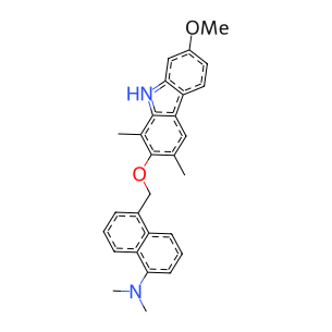 COc1ccc2c(c1)[nH]c1c(C)c(OCc3cccc4c(N(C)C)cccc34)c(C)cc12